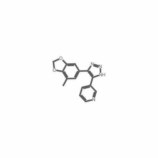 Cc1cc(-c2nn[nH]c2-c2cccnc2)cc2c1OCO2